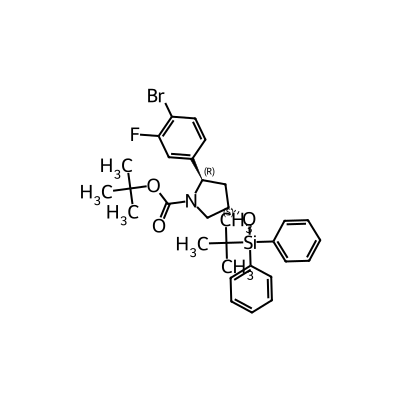 CC(C)(C)OC(=O)N1C[C@@H](O[Si](c2ccccc2)(c2ccccc2)C(C)(C)C)C[C@@H]1c1ccc(Br)c(F)c1